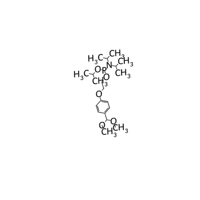 COC(OC)c1ccc(OCCOP(OC(C)C)N(C(C)C)C(C)C)cc1